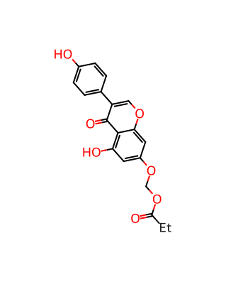 CCC(=O)OCOc1cc(O)c2c(=O)c(-c3ccc(O)cc3)coc2c1